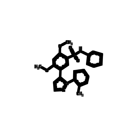 COc1cc(OC)c(S(=O)(=O)Nc2ccccc2)cc1-c1ccnn1-c1ccccc1C